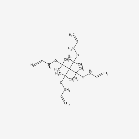 C=C[SiH2]OC(C)(C)C(C(C)(C)O[SiH2]C=C)(C(C)(C)O[SiH2]C=C)C(C)(C)O[SiH2]C=C